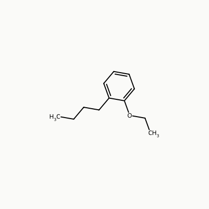 CCCCc1ccccc1OCC